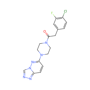 O=C(Cc1ccc(Cl)c(F)c1)N1CCN(c2ccc3nncn3n2)CC1